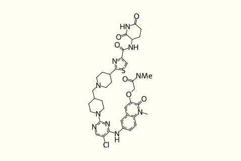 CNC(=O)COc1cc2cc(Nc3nc(N4CCC(CN5CCC(c6nc(C(=O)NC7CCC(=O)NC7=O)cs6)CC5)CC4)ncc3Cl)ccc2n(C)c1=O